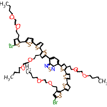 CCCCOCCOCCc1cc(Br)sc1-c1ccc(-c2ccc(-c3sc(-c4ccc(-c5cc(CCOCCOCCCC)c(-c6ccc(-c7ccc(-c8sc(Br)cc8CCOCCOCCCC)s7)s6)s5)c5nsnc45)cc3CCOCCOCCCC)s2)s1